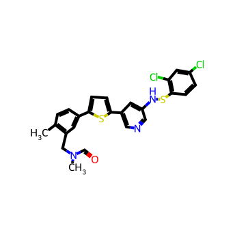 Cc1ccc(-c2ccc(-c3cncc(NSc4ccc(Cl)cc4Cl)c3)s2)cc1CN(C)C=O